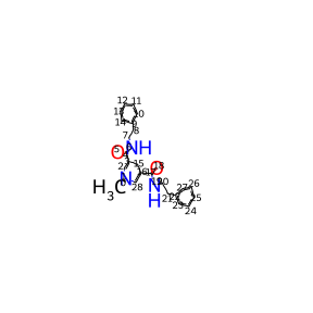 CN1C=C(C(=O)NCCc2ccccc2)CC(C(=O)NCCc2ccccc2)=C1